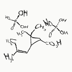 CC(C)=CC1C(C(=O)O)C1(C)C.O=P(O)(O)O.O=P(O)(O)O